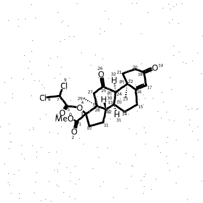 COC(=O)C1(OC(=O)C(Cl)Cl)CC[C@H]2[C@@H]3CCC4=CC(=O)CC[C@]4(C)[C@@H]3C(=O)C[C@@]21C